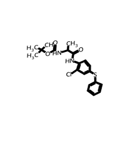 CC(NC(=O)OC(C)(C)C)C(=O)Nc1ccc(Sc2ccccc2)cc1Cl